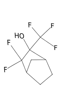 OC1(C(F)(F)F)C2CCC(C2)C1(F)F